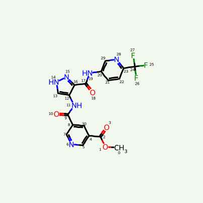 COC(=O)c1cncc(C(=O)Nc2c[nH]nc2C(=O)Nc2ccc(C(F)(F)F)nc2)c1